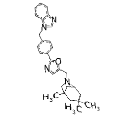 CC1(C)CC2CC(C)(CN2Cc2cnc(-c3ccc(Cn4cnc5ccccc54)cc3)o2)C1